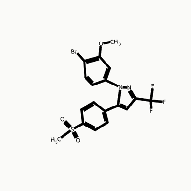 COc1cc(-n2nc(C(F)(F)F)cc2-c2ccc(S(C)(=O)=O)cc2)ccc1Br